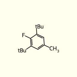 Cc1cc(C(C)(C)C)c(F)c(C(C)(C)C)c1